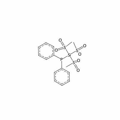 CS(=O)(=O)[Si](P(c1ccccc1)c1ccccc1)(S(C)(=O)=O)S(C)(=O)=O